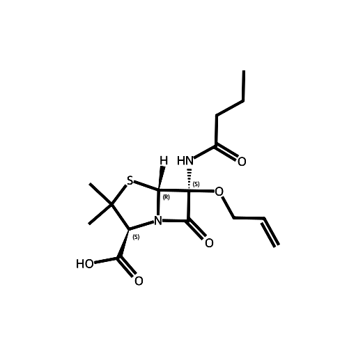 C=CCO[C@@]1(NC(=O)CCC)C(=O)N2[C@@H](C(=O)O)C(C)(C)S[C@@H]21